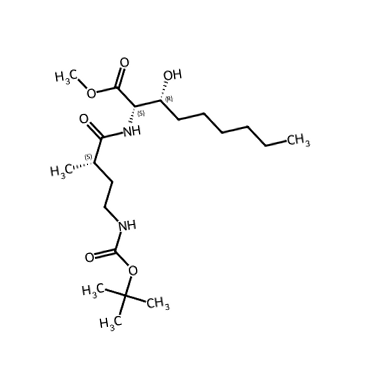 CCCCCC[C@@H](O)[C@H](NC(=O)[C@@H](C)CCNC(=O)OC(C)(C)C)C(=O)OC